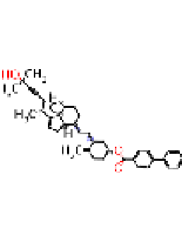 C=C1CC[C@@H](OC(=O)c2ccc(-c3ccccc3)cc2)C/C1=C/C=C1\CCC[C@]2(C)C([C@H](C)CC#CC(C)(C)O)=CC[C@@H]12